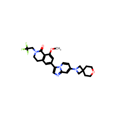 COc1cc(-c2cnc3cc(N4CC5(CCOCC5)C4)ccn23)cc2c1C(=O)N(CC(F)(F)F)CC2